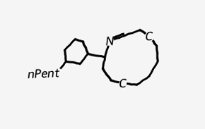 CCCCCC1CCCC(C2CCCCCCCCCC=N2)C1